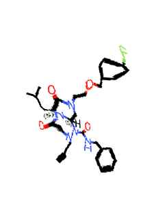 C#CCN1CC(=O)N2[C@@H](CC(C)C)C(=O)N(CCOCc3ccc(F)cc3)C[C@@H]2N1C(=O)NCc1ccccc1